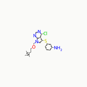 C[Si](C)(C)CCOCn1cc(Sc2cccc(N)c2)c2c(Cl)ncnc21